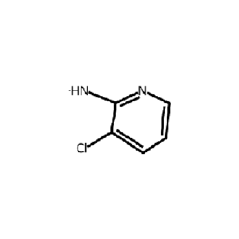 [NH]c1ncccc1Cl